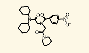 O=C(CN(CC(=O)N(C1CCCCC1)C1CCCCC1)C(=O)c1ccc([N+](=O)[O-])cc1)N1CCCCC1